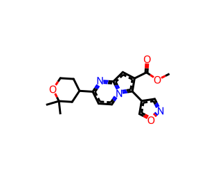 COC(=O)c1cc2nc(C3CCOC(C)(C)C3)ccn2c1-c1cnoc1